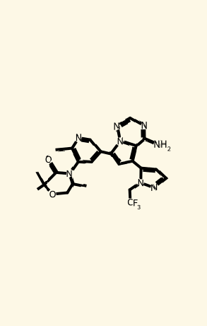 Cc1ncc(-c2cc(-c3ccnn3CC(F)(F)F)c3c(N)ncnn23)cc1N1C(=O)C(C)(C)OCC1C